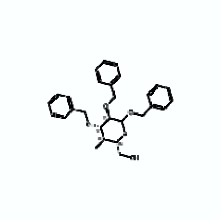 C[C@H]1[C@H](OCc2ccccc2)[C@@H](OCc2ccccc2)C(OCc2ccccc2)O[C@@H]1CO